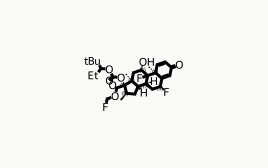 CCC(OC(=O)O[C@@]1(C(=O)OCF)[C@H](C)C[C@H]2[C@@H]3C[C@H](F)C4=CC(=O)C=C[C@]4(C)C3(F)[C@@H](O)C[C@@]21C)C(C)(C)C